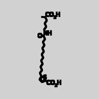 C[C@@H](CCCCNC(=O)CCCCCCCCCCCCc1ccc(C(=O)O)s1)C(=O)O